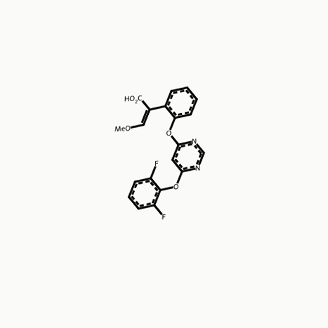 COC=C(C(=O)O)c1ccccc1Oc1cc(Oc2c(F)cccc2F)ncn1